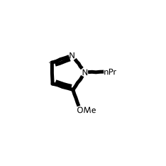 CCCn1n[c]cc1OC